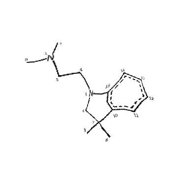 CN(C)CCN1CC(C)(C)c2ccccc21